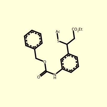 CCOC(=O)CC(SC(C)=O)c1cccc(NC(=O)OCc2ccccc2)c1